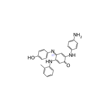 Cc1ccccc1NC1=CC(=O)C(Nc2ccc(N)cc2)=C/C1=N/c1ccc(O)cc1